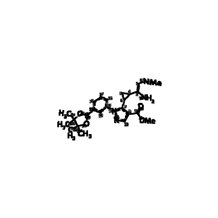 CN/C=C(\N)C1CC1c1c(C(=O)OC)cnn1-c1cccc(B2OC(C)(C)C(C)(C)O2)c1